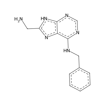 NCc1nc2c(NCc3ccccc3)ncnc2[nH]1